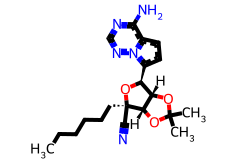 CCCCCC[C@]1(C#N)O[C@@H](c2ccc3c(N)ncnn23)[C@@H]2OC(C)(C)O[C@@H]21